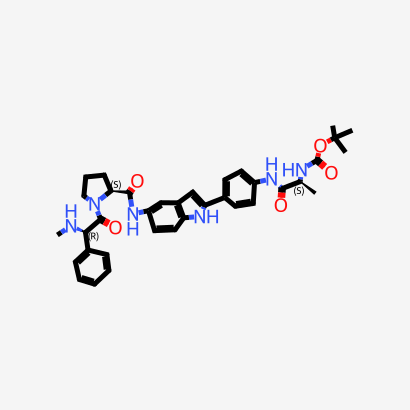 CN[C@@H](C(=O)N1CCC[C@H]1C(=O)Nc1ccc2[nH]c(-c3ccc(NC(=O)[C@H](C)NC(=O)OC(C)(C)C)cc3)cc2c1)c1ccccc1